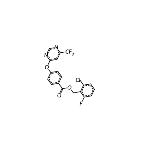 O=C(OCc1c(F)cccc1Cl)c1ccc(Oc2cc(C(F)(F)F)ncn2)cc1